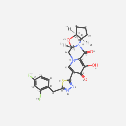 O=C1c2c(O)c(=O)c(-c3nnc(Cc4ccc(F)cc4F)s3)cn2C[C@@H]2O[C@H]3CCC[C@H]3N12